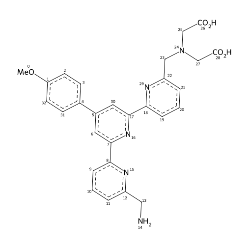 COc1ccc(-c2cc(-c3cccc(CN)n3)nc(-c3cccc(CN(CC(=O)O)CC(=O)O)n3)c2)cc1